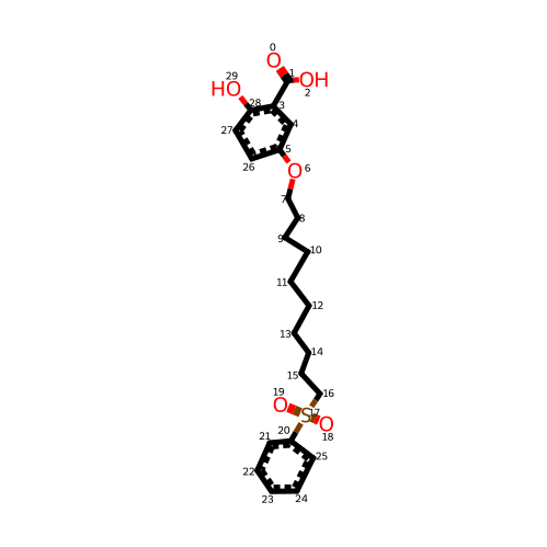 O=C(O)c1cc(OCCCCCCCCCCS(=O)(=O)c2ccccc2)ccc1O